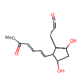 COC(=O)C=CC=CC1C(O)CC(O)C1CC=C=O